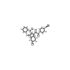 N#Cc1ccc(C(=O)Nc2c(C(=O)c3ccccc3)[nH]c3cc(Cl)ccc23)cc1